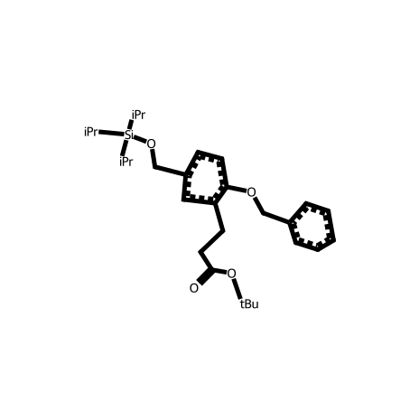 CC(C)[Si](OCc1ccc(OCc2ccccc2)c(CCC(=O)OC(C)(C)C)c1)(C(C)C)C(C)C